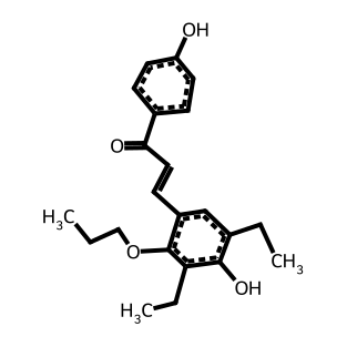 CCCOc1c(C=CC(=O)c2ccc(O)cc2)cc(CC)c(O)c1CC